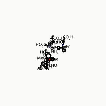 C=CC1=C(C(=O)O)N2C(=O)[C@@H](NC(=O)/C(=N\OCC(=O)O)c3csc(N)n3)[C@H]2SC1.CC(C)n1c(/C=C/[C@@H](O)C[C@@H](O)CC(=O)O)c(-c2ccc(F)cc2)c2ccccc21.CC[C@]1(O)C[C@H]2C[N@](CCc3c([nH]c4ccccc34)[C@@](C(=O)OC)(c3cc4c(cc3OC)N(C=O)[C@H]3[C@@](O)(C(=O)OC)[C@H](OC(C)=O)[C@]5(CC)C=CCN6CC[C@]43[C@@H]65)C2)C1